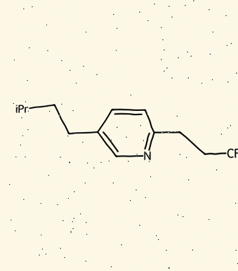 CC(C)CCc1ccc(CCC(F)(F)F)nc1